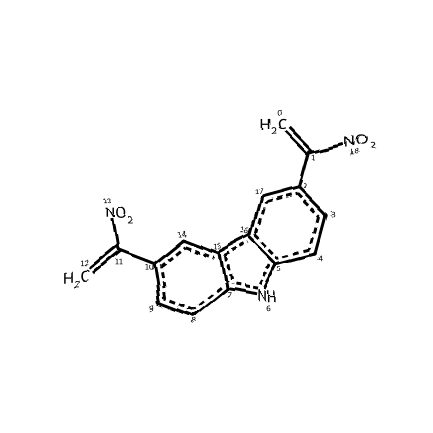 C=C(c1ccc2[nH]c3ccc(C(=C)[N+](=O)[O-])cc3c2c1)[N+](=O)[O-]